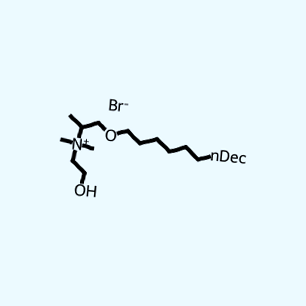 CCCCCCCCCCCCCCCCOCC(C)[N+](C)(C)CCO.[Br-]